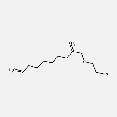 C=CCCCCCCC(=C)COCCC#N